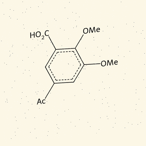 COc1cc(C(C)=O)cc(C(=O)O)c1OC